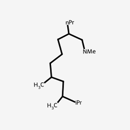 CCCC(CCCC(C)CC(C)C(C)C)CNC